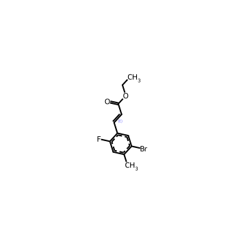 CCOC(=O)/C=C/c1cc(Br)c(C)cc1F